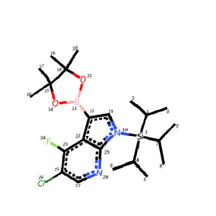 CC(C)[Si](C(C)C)(C(C)C)n1cc(B2OC(C)(C)C(C)(C)O2)c2c(F)c(Cl)cnc21